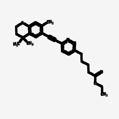 CCOC(=O)CCCCc1ccc(C#Cc2cc3c(cc2C)SCCC3(C)C)nn1